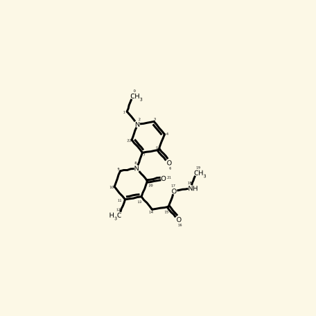 CCn1ccc(=O)c(N2CCC(C)=C(CC(=O)ONC)C2=O)c1